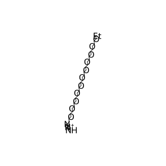 CCOCCOCCOCCOCCOCCOCCOCCOCCOCCOCCOCCN=[N+]=N